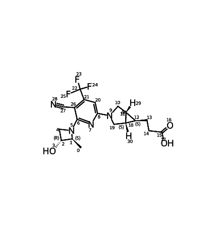 C[C@H]1[C@H](O)CN1c1nc(N2C[C@@H]3[C@@H](CCC(=O)O)[C@@H]3C2)cc(C(F)(F)F)c1C#N